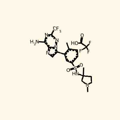 Cc1ccc(S(=O)(=O)NC2(C)CCN(C)C2)cc1-c1cnc2c(N)nc(C(F)(F)F)nn12.O=C(O)C(F)(F)F